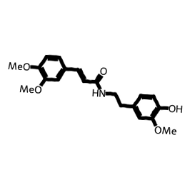 COc1cc(CCNC(=O)C=Cc2ccc(OC)c(OC)c2)ccc1O